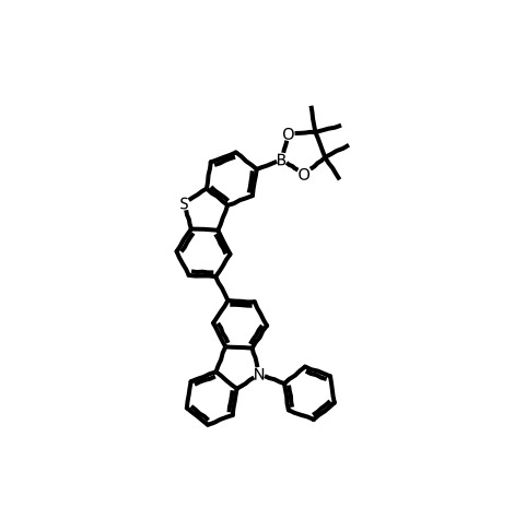 CC1(C)OB(c2ccc3sc4ccc(-c5ccc6c(c5)c5ccccc5n6-c5ccccc5)cc4c3c2)OC1(C)C